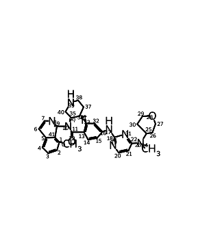 Cc1cccc2ccnc(N(C(=O)c3ccc(Nc4nccc(N(C)C5CCOCC5)n4)cc3F)[C@@H]3CCCNC3)c12